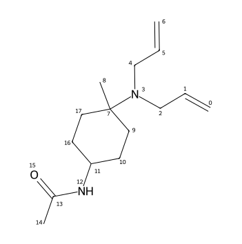 C=CCN(CC=C)C1(C)CCC(NC(C)=O)CC1